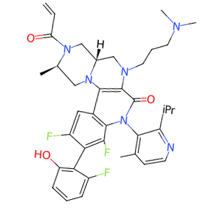 C=CC(=O)N1C[C@@H]2CN(CCCN(C)C)c3c(c4cc(F)c(-c5c(O)cccc5F)c(F)c4n(-c4c(C)ccnc4C(C)C)c3=O)N2C[C@H]1C